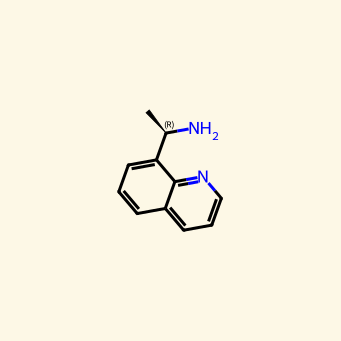 C[C@@H](N)c1cccc2cccnc12